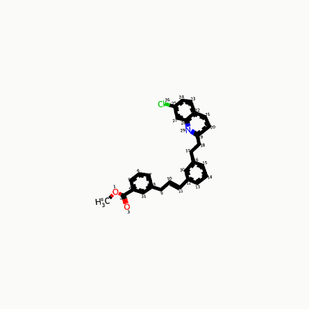 COC(=O)c1cccc(CC=Cc2cccc(CCc3ccc4ccc(Cl)cc4n3)c2)c1